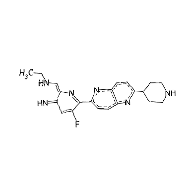 CCN/C=C1/N=C(c2ccc3nc(C4CCNCC4)ccc3n2)C(F)=CC1=N